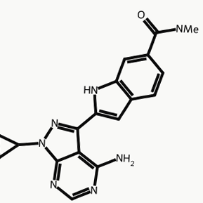 CNC(=O)c1ccc2cc(-c3nn(C4CC4)c4ncnc(N)c34)[nH]c2c1